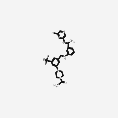 CC(=O)N1CCN(c2cc(CNc3cccc(C(C)Nc4cncc(Cl)n4)c3)cc(C(F)(F)F)c2)CC1